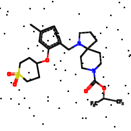 Cc1ccc(CN2CCCC23CCN(C(=O)OC(C(F)(F)F)C(F)(F)F)CC3)c(OC2CCS(=O)(=O)CC2)c1